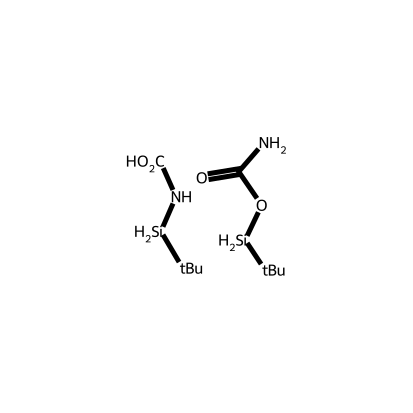 CC(C)(C)[SiH2]NC(=O)O.CC(C)(C)[SiH2]OC(N)=O